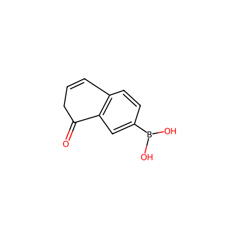 O=C1CC=Cc2ccc(B(O)O)cc21